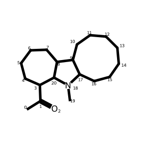 CC(=O)C1CCCCC2C3CCCCCCCC3N(C)C12